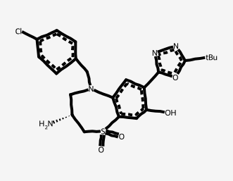 CC(C)(C)c1nnc(-c2cc3c(cc2O)S(=O)(=O)C[C@H](N)CN3Cc2ccc(Cl)cc2)o1